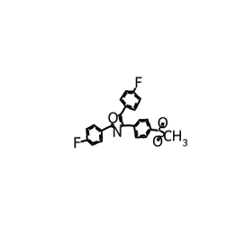 CS(=O)(=O)c1ccc(-c2nc(-c3ccc(F)cc3)oc2-c2ccc(F)cc2)cc1